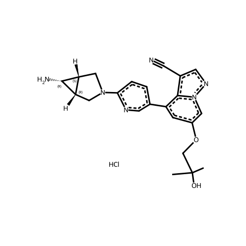 CC(C)(O)COc1cc(-c2ccc(N3C[C@@H]4[C@H](N)[C@@H]4C3)nc2)c2c(C#N)cnn2c1.Cl